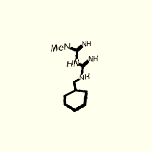 CNC(=N)NC(=N)NCC1CCCCC1